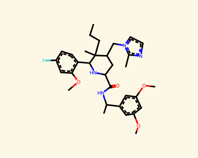 CCCC1(C)C(Cn2ccnc2C)CC(C(=O)NC(C)c2cc(OC)cc(OC)c2)NC1c1ccc(F)cc1OC